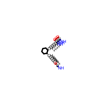 C.C.C.C.C.C.C.C.C.CC1CCCCC1.N=C=O.N=C=O.N=C=O.N=C=O